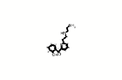 NCCNCCc1cccc(C(=O)c2ccccc2O)n1